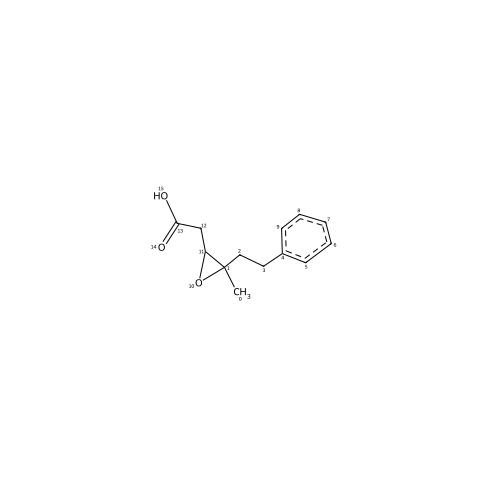 CC1(CCc2ccccc2)OC1CC(=O)O